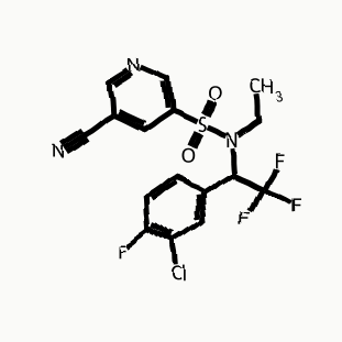 CCN(C(c1ccc(F)c(Cl)c1)C(F)(F)F)S(=O)(=O)c1cncc(C#N)c1